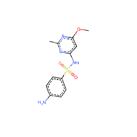 COc1cc(NS(=O)(=O)c2ccc(N)cc2)nc(C)n1